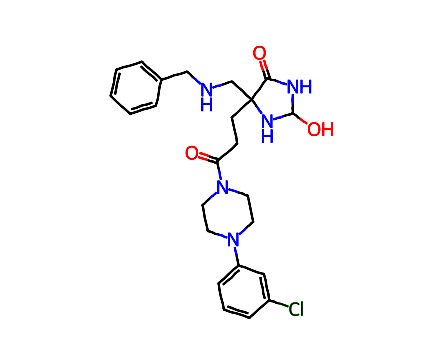 O=C(CCC1(CNCc2ccccc2)NC(O)NC1=O)N1CCN(c2cccc(Cl)c2)CC1